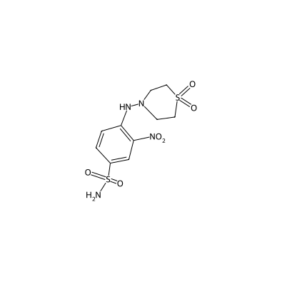 NS(=O)(=O)c1ccc(NN2CCS(=O)(=O)CC2)c([N+](=O)[O-])c1